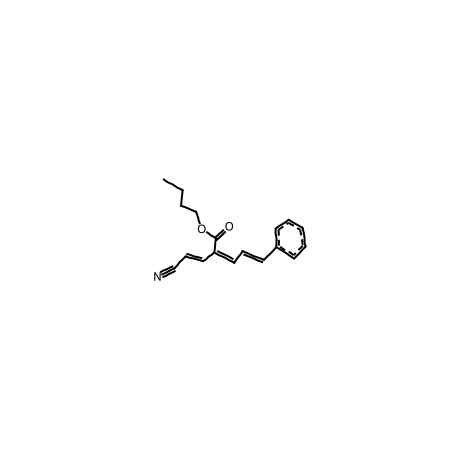 CCCCOC(=O)C(C=CC#N)=CC=Cc1ccccc1